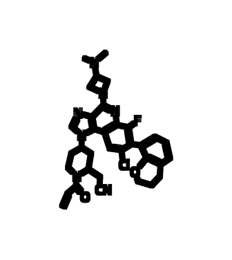 C=CC(=O)N1CCC(n2cnc3c(N4CC(N(C)C)C4)nc4c(F)c(-c5cccc6c5OCCC6)c(Cl)cc4c32)CC1CC#N